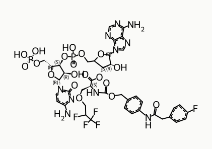 Nc1ccn([C@@H]2O[C@H](COP(=O)(O)O)[C@@H](OP(=O)(O)OCC3O[C@@H](n4cnc5c(N)ncnc54)[C@H](O)[C@@H]3OC(=O)[C@H](COCC(F)C(F)(F)F)NC(=O)OCc3ccc(NC(=O)Cc4ccc(F)cc4)cc3)[C@H]2O)c(=O)n1